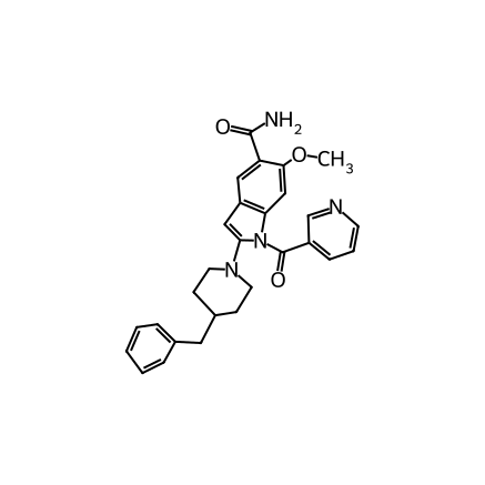 COc1cc2c(cc1C(N)=O)cc(N1CCC(Cc3ccccc3)CC1)n2C(=O)c1cccnc1